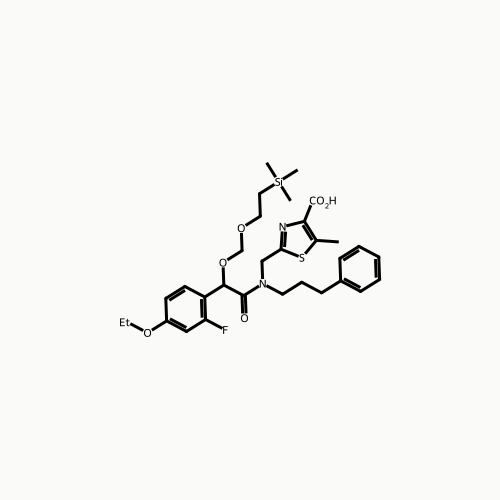 CCOc1ccc(C(OCOCC[Si](C)(C)C)C(=O)N(CCCc2ccccc2)Cc2nc(C(=O)O)c(C)s2)c(F)c1